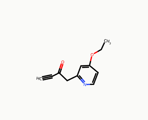 C#CC(=O)Cc1cc(OCC)ccn1